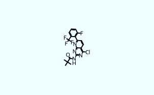 CC(C)(C)C(=O)Nc1nc(Cl)c2ccc(-c3c(F)cccc3C(F)(F)F)nc2n1